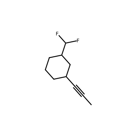 CC#CC1CCCC(C(F)F)C1